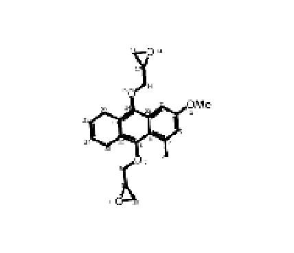 COc1cc(C)c2c(OCC3CO3)c3c(c(OCC4CO4)c2c1)CC=CC3